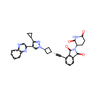 O=C1CCC(N2C(=O)c3cccc(C#C[C@H]4C[C@H](n5cc(-c6cnc7ccccc7n6)c(C6CC6)n5)C4)c3C2=O)C(=O)N1